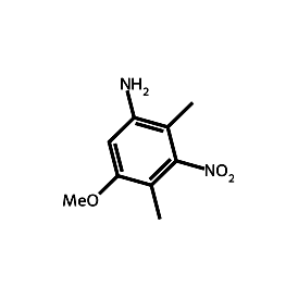 COc1cc(N)c(C)c([N+](=O)[O-])c1C